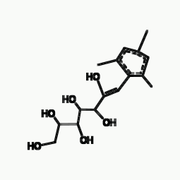 Cc1cc(C)c(C=C(O)C(O)C(O)C(O)C(O)CO)c(C)c1